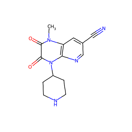 Cn1c(=O)c(=O)n(C2CCNCC2)c2ncc(C#N)cc21